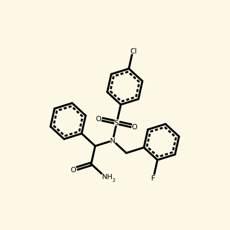 NC(=O)C(c1ccccc1)N(Cc1ccccc1F)S(=O)(=O)c1ccc(Cl)cc1